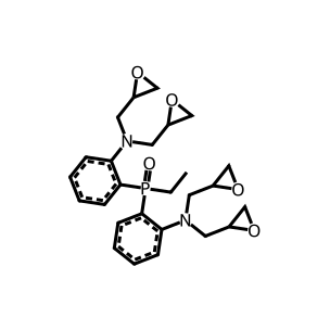 CCP(=O)(c1ccccc1N(CC1CO1)CC1CO1)c1ccccc1N(CC1CO1)CC1CO1